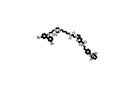 O=C(Cn1ccc2cc(C(=O)NCCc3ccc(N4C[C@H]5CC[C@@H](C4)N5)cc3)cnc21)NCCCCCN1CCN(CC(O)Cn2c3ccc(Br)cc3c3cc(Br)ccc32)CC1